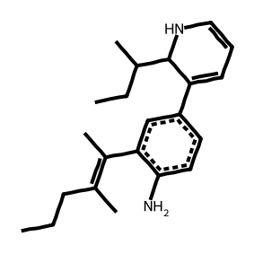 CCC/C(C)=C(\C)c1cc(C2=CC=CNC2C(C)CC)ccc1N